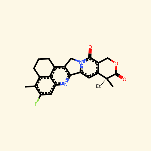 CC[C@@]1(C)C(=O)OCc2c1cc1n(c2=O)Cc2c-1nc1cc(F)c(C)c3c1c2CCC3